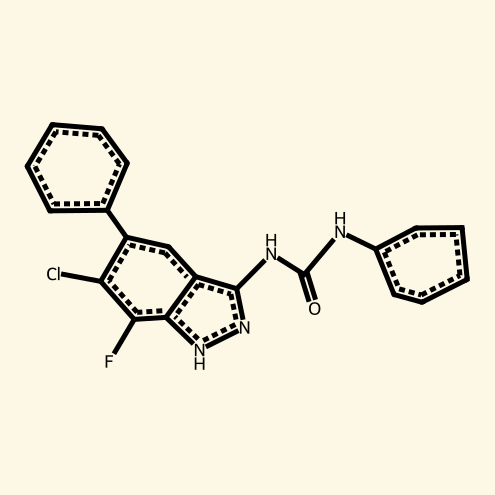 O=C(Nc1ccccc1)Nc1n[nH]c2c(F)c(Cl)c(-c3ccccc3)cc12